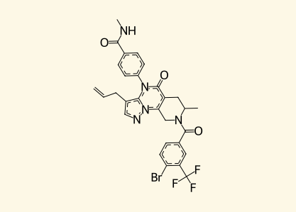 C=CCc1cnn2c3c(c(=O)n(-c4ccc(C(=O)NC)cc4)c12)CC(C)N(C(=O)c1ccc(Br)c(C(F)(F)F)c1)C3